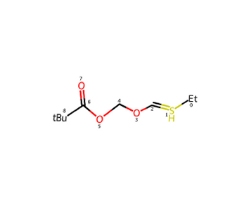 CC[SH]=COCOC(=O)C(C)(C)C